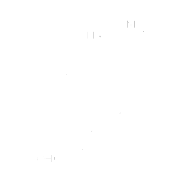 NNc1ccc(CC=O)cc1